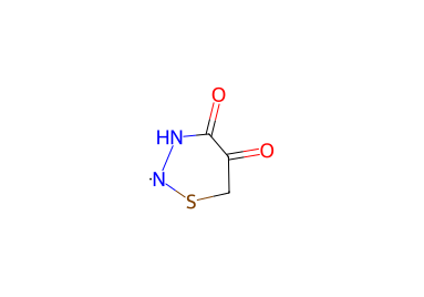 O=C1CS[N]NC1=O